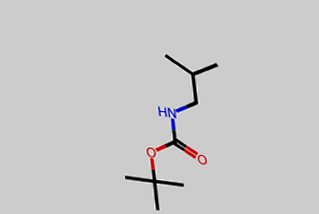 CC(C)CNC(=O)OC(C)(C)C